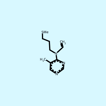 C=CN(CCCSC)c1ncncc1C